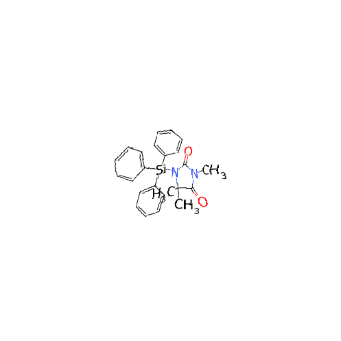 CN1C(=O)N([Si](c2ccccc2)(c2ccccc2)c2ccccc2)C(C)(C)C1=O